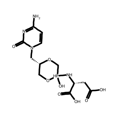 Nc1ccn(C[C@H]2CO[PH](O)(N[C@H](CC(=O)O)C(=O)O)CO2)c(=O)n1